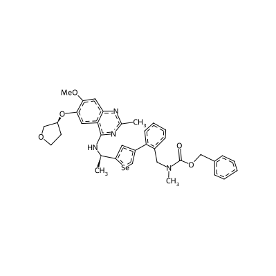 COc1cc2nc(C)nc(N[C@H](C)c3cc(-c4ccccc4CN(C)C(=O)OCc4ccccc4)c[se]3)c2cc1O[C@H]1CCOC1